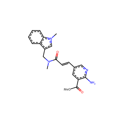 COC(=O)c1cc(C=CC(=O)N(C)Cc2cn(C)c3ccccc23)cnc1N